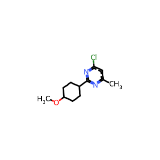 COC1CCC(c2nc(C)cc(Cl)n2)CC1